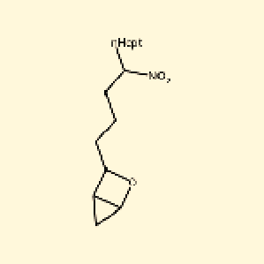 [CH2]CCCCCCC(CCC[C]1OC2CC12)[N+](=O)[O-]